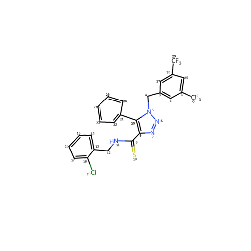 FC(F)(F)c1cc(Cn2nnc(C(=S)NCc3ccccc3Cl)c2-c2ccccc2)cc(C(F)(F)F)c1